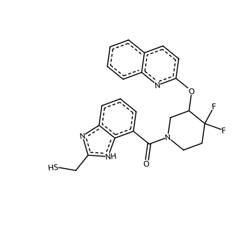 O=C(c1cccc2nc(CS)[nH]c12)N1CCC(F)(F)C(Oc2ccc3ccccc3n2)C1